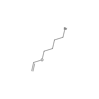 C=COCCCCBr